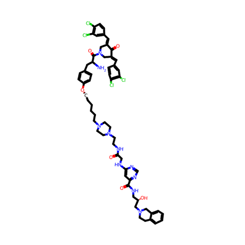 NC(Cc1ccc(OCCCCCCN2CCN(CCNC(=O)CNc3cc(C(=O)NC[C@H](O)CN4CCc5ccccc5C4)ncn3)CC2)cc1)C(=O)N1C/C(=C\c2ccc(Cl)c(Cl)c2)C(=O)/C(=C/c2ccc(Cl)c(Cl)c2)C1